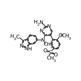 COc1ccc(S(C)(=O)=O)cc1-c1cnc(N)nc1N(C)c1ccc2c(C)n[nH]c2c1